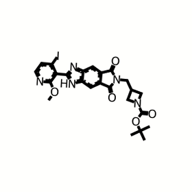 COc1nccc(I)c1-c1nc2cc3c(cc2[nH]1)C(=O)N(CC1CN(C(=O)OC(C)(C)C)C1)C3=O